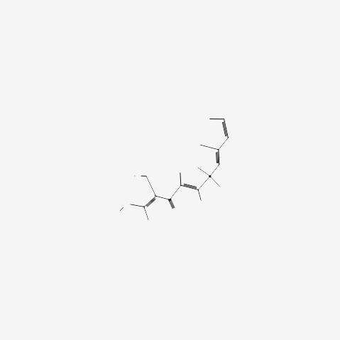 C/C=C\C(C)=C\C(C)(C)/C(C=O)=C(\C)C(=O)/C(CO)=C(\C)OC(F)(F)F